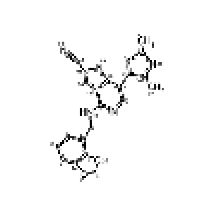 Cc1cc(-c2cnc(NCc3cccc4c3OCO4)n3cc(C#N)nc23)n(C)n1